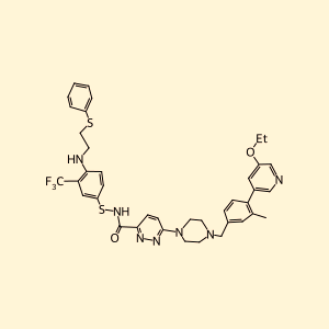 CCOc1cncc(-c2ccc(CN3CCN(c4ccc(C(=O)NSc5ccc(NCCSc6ccccc6)c(C(F)(F)F)c5)nn4)CC3)cc2C)c1